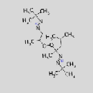 CC(C)CC(C)(/N=N/C(C)(C)C)OOC(C)C/N=N/C(C)(C)C